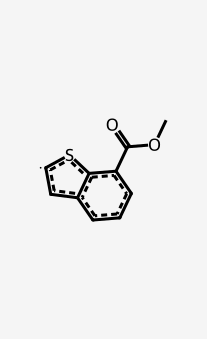 COC(=O)c1cccc2c[c]sc12